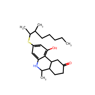 CCCCCC(C)C(C)Sc1cc(O)c2c(c1)NC(C)C1CCC(=O)CC21